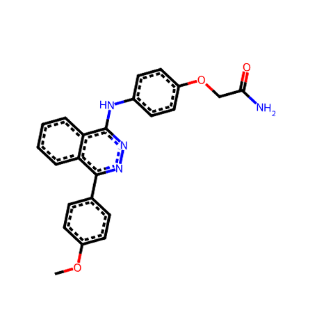 COc1ccc(-c2nnc(Nc3ccc(OCC(N)=O)cc3)c3ccccc23)cc1